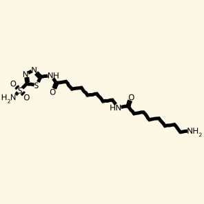 NCCCCCCCC(=O)NCCCCCCCC(=O)Nc1nnc(S(N)(=O)=O)s1